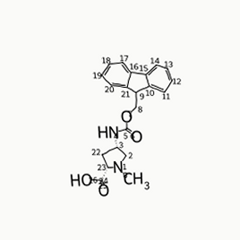 CN1C[C@@H](NC(=O)OCC2c3ccccc3-c3ccccc32)C[C@H]1C(=O)O